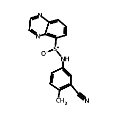 Cc1ccc(N[S+]([O-])c2cccc3nccnc23)cc1C#N